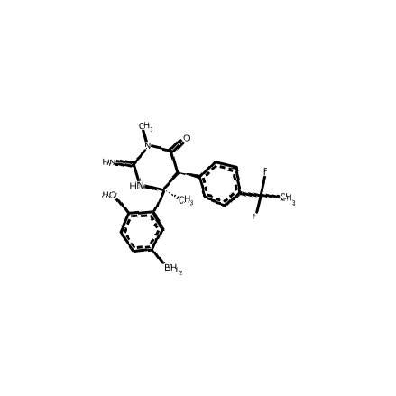 Bc1ccc(O)c([C@@]2(C)NC(=N)N(C)C(=O)[C@H]2c2ccc(C(C)(F)F)cc2)c1